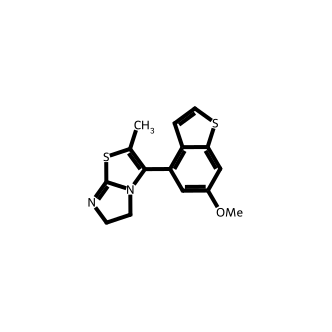 COc1cc(C2=C(C)SC3=NCCN32)c2ccsc2c1